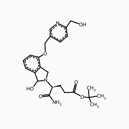 CC(C)(C)OC(=O)CC[C@@H](C(N)=O)N1Cc2c(OCc3ccc(CO)nc3)cccc2C1O